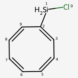 Cl[SiH2]C1=C/C=C\C=C/C=C\1